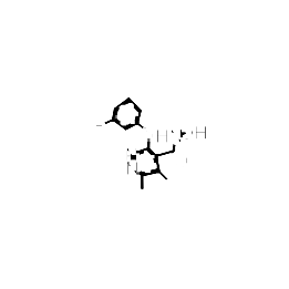 Cc1nnc(Sc2cccc(F)c2)c(C(=O)NO)c1C